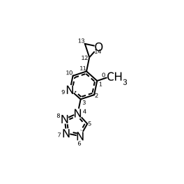 Cc1cc(-n2cnnn2)ncc1C1CO1